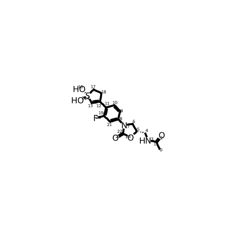 CC(=O)NC[C@H]1CN(c2ccc(C3=CS(O)(O)CC3)c(F)c2)C(=O)O1